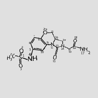 CS(=O)(=O)Nc1ccc2c(c1)N1C(=O)N(CC(N)=O)CC1CO2